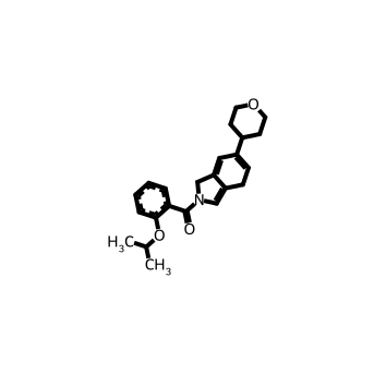 CC(C)Oc1ccccc1C(=O)N1C=C2CC=C(C3CCOCC3)C=C2C1